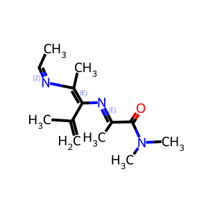 C=C(C)C(/N=C(\C)C(=O)N(C)C)=C(C)\N=C/C